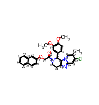 COc1ccc(C2c3c(nc4cc(Cl)c(C)cn34)CCN2C(=O)COc2ccc3ccccc3c2)cc1OC